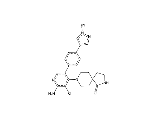 CC(C)n1cc(-c2ccc(-c3cnc(N)c(Cl)c3N3CCC4(CCNC4=O)CC3)cc2)cn1